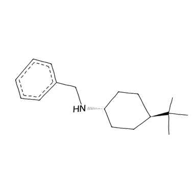 CC(C)(C)[C@H]1CC[C@H](NCc2ccccc2)CC1